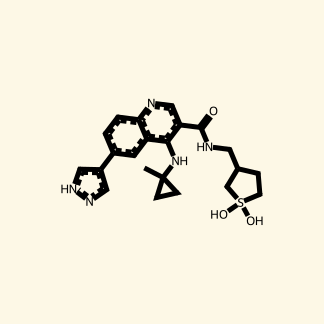 CC1(Nc2c(C(=O)NCC3CCS(O)(O)C3)cnc3ccc(-c4cn[nH]c4)cc23)CC1